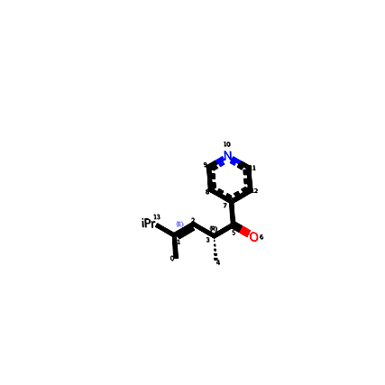 C/C(=C\[C@@H](C)C(=O)c1ccncc1)C(C)C